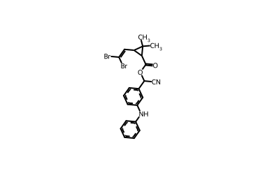 CC1(C)C(C=C(Br)Br)C1C(=O)OC(C#N)c1cccc(Nc2ccccc2)c1